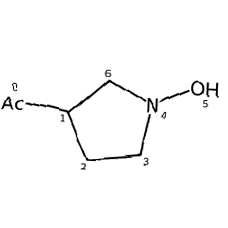 CC(=O)C1CCN(O)C1